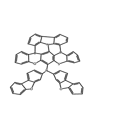 c1ccc2c(c1)Oc1c3c4c5c(c1N(c1ccc6c(c1)oc1ccccc16)c1ccc6c(c1)oc1ccccc16)Sc1ccccc1B5c1cccc5c6cccc(c6n-4c15)B23